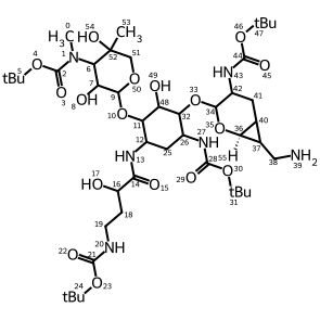 CN(C(=O)OC(C)(C)C)C1C(O)C(OC2C(NC(=O)C(O)CCNC(=O)OC(C)(C)C)CC(NC(=O)OC(C)(C)C)C(OC3O[C@@H]4C(CN)C4CC3NC(=O)OC(C)(C)C)C2O)OCC1(C)O